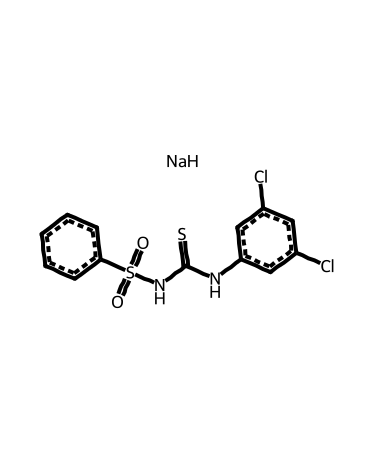 O=S(=O)(NC(=S)Nc1cc(Cl)cc(Cl)c1)c1ccccc1.[NaH]